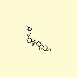 Cc1nc(COc2cccc(S(=O)(=O)c3ccc4c(c3)OC3CNCCC43)c2)cs1